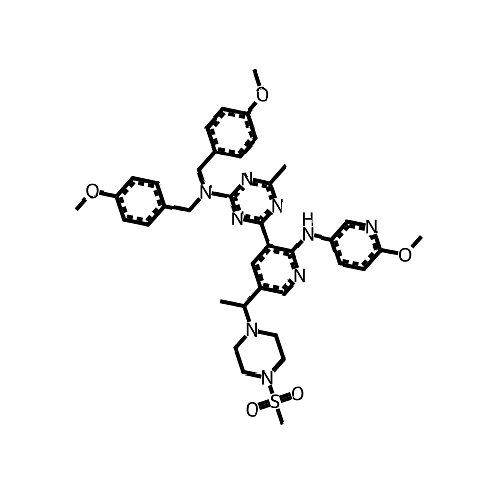 COc1ccc(CN(Cc2ccc(OC)cc2)c2nc(C)nc(-c3cc(C(C)N4CCN(S(C)(=O)=O)CC4)cnc3Nc3ccc(OC)nc3)n2)cc1